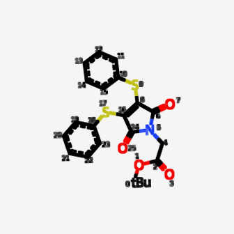 CC(C)(C)OC(=O)CN1C(=O)C(Sc2ccccc2)=C(Sc2ccccc2)C1=O